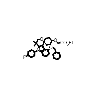 CCOC(=O)CO[C@H]1CC[C@]2(CC1)OCC(C)(C)c1c2c2c(OCc3ccccc3)cccc2n1-c1ccc(F)cc1